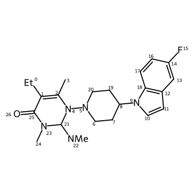 CCC1=C(C)N(N2CCC(n3ccc4cc(F)ccc43)CC2)C(NC)N(C)C1=O